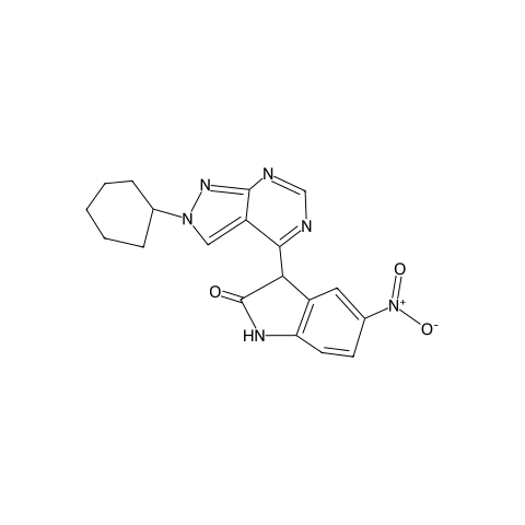 O=C1Nc2ccc([N+](=O)[O-])cc2C1c1ncnc2nn(C3CCCCC3)cc12